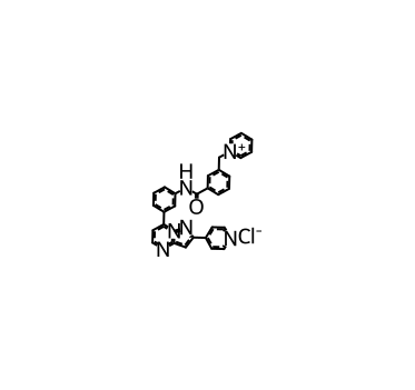 O=C(Nc1cccc(-c2ccnc3cc(-c4ccncc4)nn23)c1)c1cccc(C[n+]2ccccc2)c1.[Cl-]